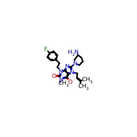 CC(C)=CCn1c(N2CCCC(N)C2)nc2c1c(=O)n(C)c(=O)n2CCc1ccc(F)cc1